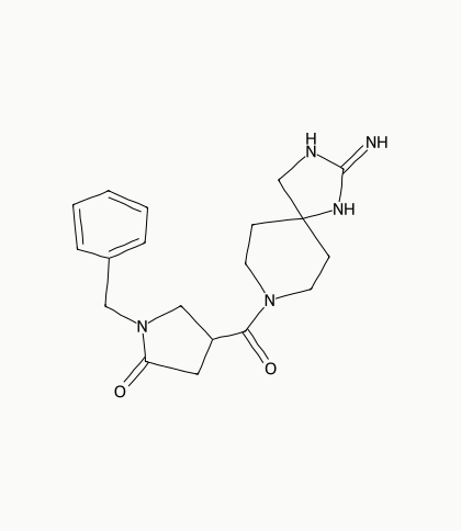 N=C1NCC2(CCN(C(=O)C3CC(=O)N(Cc4ccccc4)C3)CC2)N1